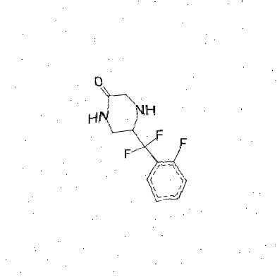 O=C1CNC(C(F)(F)c2ccccc2F)CN1